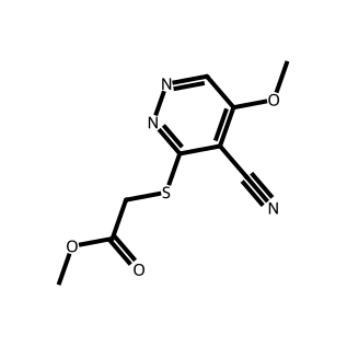 COC(=O)CSc1nncc(OC)c1C#N